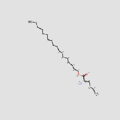 CCCCCCCCCCCCCCCCCCOC(=O)[C@@H](N)CC[Se]C